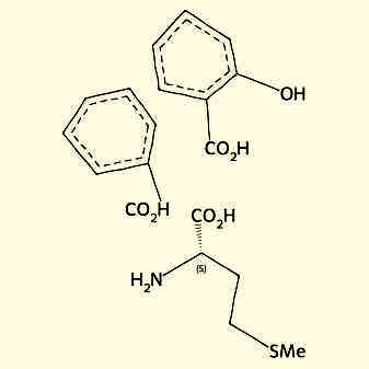 CSCC[C@H](N)C(=O)O.O=C(O)c1ccccc1.O=C(O)c1ccccc1O